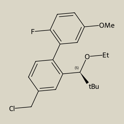 CCO[C@H](c1cc(CCl)ccc1-c1cc(OC)ccc1F)C(C)(C)C